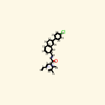 C=C/C=C/C(C(=O)/C=C/C1=CC2=C(C=C=C1)CCC(c1ccc(Cl)cc1)=C2)=C(/C)C(=C)C